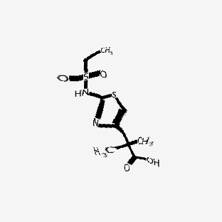 CCS(=O)(=O)Nc1nc(C(C)(C)C(=O)O)cs1